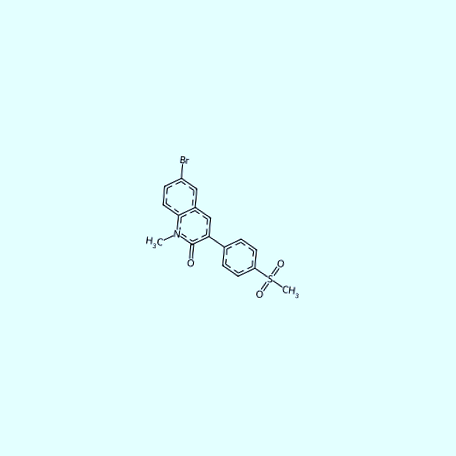 Cn1c(=O)c(-c2ccc(S(C)(=O)=O)cc2)cc2cc(Br)ccc21